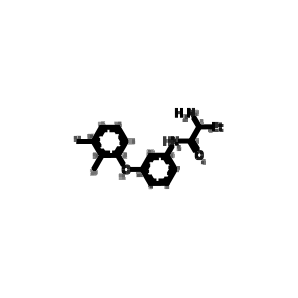 CCC(N)C(=O)Nc1cccc(Oc2cccc(C)c2C)c1